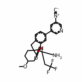 [C-]#[N+]c1cncc(-c2ccc3c(c2)C2(N=C(N)N(CC(F)(F)F)C2=O)C2(CCC(OC)CC2)C3)c1